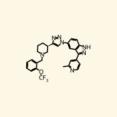 Cc1cc(-c2n[nH]c3ccc(-n4cc([C@@H]5CCCN(Cc6ccccc6OC(F)(F)F)C5)nn4)cc23)ccn1